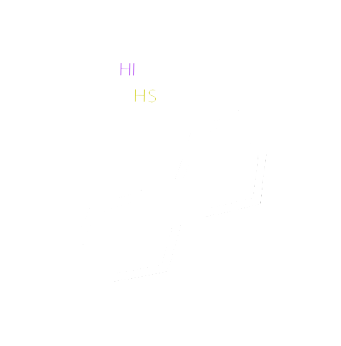 I.Sc1ccccc1.c1ccccc1